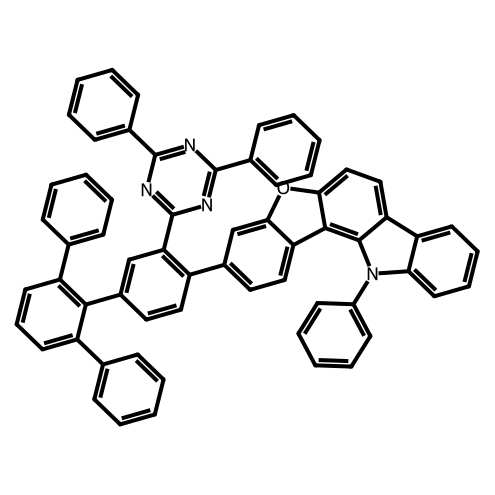 c1ccc(-c2nc(-c3ccccc3)nc(-c3cc(-c4c(-c5ccccc5)cccc4-c4ccccc4)ccc3-c3ccc4c(c3)oc3ccc5c6ccccc6n(-c6ccccc6)c5c34)n2)cc1